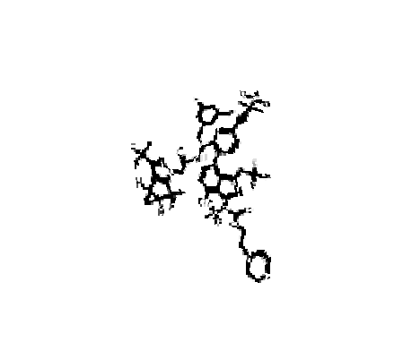 CC(C)(C#Cc1ccc(-c2ccc(Cl)c3c(N(C(=O)OCCN4CCOCC4)S(C)(=O)=O)nn(CC(F)(F)F)c23)c([C@H](Cc2cc(F)cc(F)c2)NC(=O)Cn2nc(C(F)(F)F)c3c2C(F)(F)[C@@H]2C[C@H]32)n1)S(C)(=O)=O